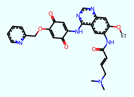 CCOc1cc2ncnc(NC3=CC(=O)C(OCc4ccccn4)=CC3=O)c2cc1NC(=O)C=CCN(C)C